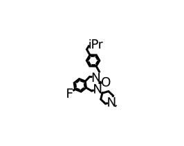 CC(C)Cc1ccc(CN2Cc3ccc(F)cc3CN(C3CCN(C)CC3)C2=O)cc1